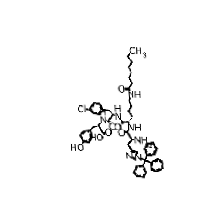 CCCCCCCC(=O)NCCCC[C@H](NC(=O)[C@@H](N)Cc1cn(C(c2ccccc2)(c2ccccc2)c2ccccc2)cn1)C(=O)N[C@H](Cc1ccc(Cl)cc1)C(=O)N[C@H](Cc1ccc(O)cc1)C(=O)O